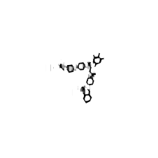 Cc1cc(C[C@H](CC(=O)N2CCC(N3Cc4ccccc4NC3=O)CC2)C(=O)N2CCC(N3CCN(CC(=O)O)CC3)CC2)cc(C)c1C